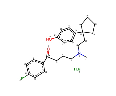 Br.CN(CCCC(=O)c1ccc(F)cc1)CCC1(c2ccc(O)cc2)CCCC1